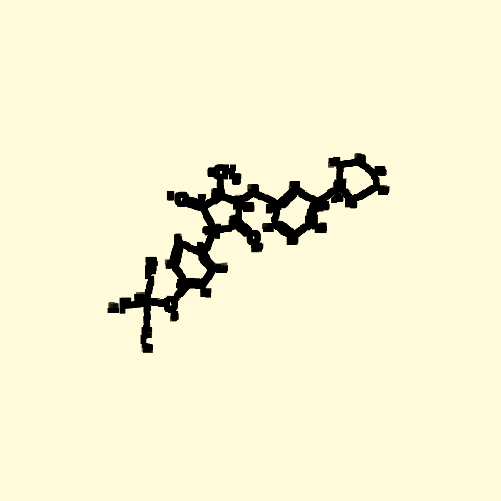 CC1C(=O)N(c2ccc(OC(F)(F)F)cc2)C(=O)N1Cc1ccnc(N2CCCCC2)c1